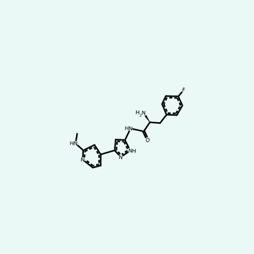 CNc1cc(-c2cc(NC(=O)[C@@H](N)Cc3ccc(F)cc3)[nH]n2)ccn1